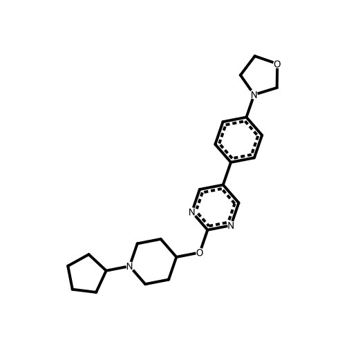 c1cc(N2CCOC2)ccc1-c1cnc(OC2CCN(C3CCCC3)CC2)nc1